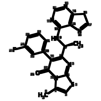 Cc1csc2nc([C@H](C)Nc3ncnc4c3N=CC4)c(-c3cccc(F)c3)c(=O)n12